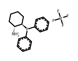 F[B-](F)(F)F.[NH3+][C@@H]1CCCC[C@H]1P(c1ccccc1)c1ccccc1